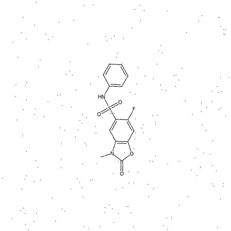 Cn1c(=O)oc2cc(F)c(S(=O)(=O)Nc3ccccc3)cc21